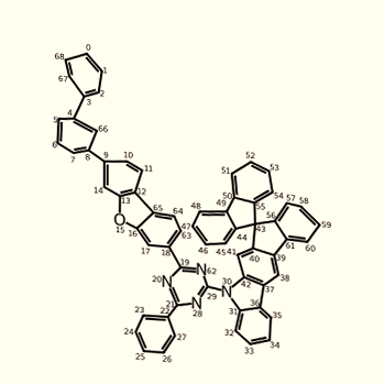 c1ccc(-c2cccc(-c3ccc4c(c3)oc3cc(-c5nc(-c6ccccc6)nc(-n6c7ccccc7c7cc8c(cc76)C6(c7ccccc7-c7ccccc76)c6ccccc6-8)n5)ccc34)c2)cc1